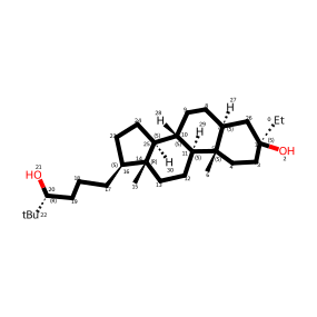 CC[C@]1(O)CC[C@@]2(C)[C@@H](CC[C@@H]3[C@@H]2CC[C@]2(C)[C@@H](CCC[C@@H](O)C(C)(C)C)CC[C@@H]32)C1